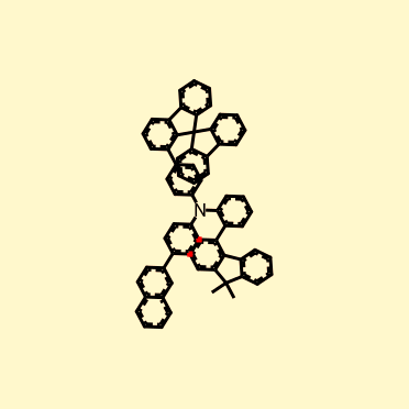 CC1(C)c2ccccc2-c2c(-c3ccccc3N(c3ccc(-c4ccc5ccccc5c4)cc3)c3ccc(-c4cccc5c4C4(c6ccccc6-c6ccccc64)c4ccccc4-5)cc3)cccc21